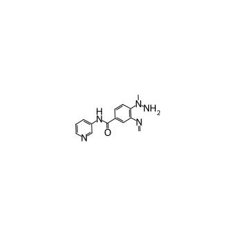 C=Nc1cc(C(=O)Nc2cccnc2)ccc1N(C)N